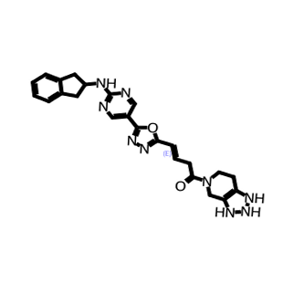 O=C(C/C=C/c1nnc(-c2cnc(NC3Cc4ccccc4C3)nc2)o1)N1CCC2=C(C1)NNN2